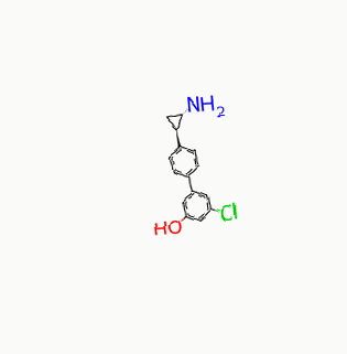 N[C@H]1C[C@@H]1c1ccc(-c2cc(O)cc(Cl)c2)cc1